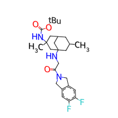 CC1CC2CC(C)(NC(=O)OC(C)(C)C)CC(NCC(=O)N3Cc4cc(F)c(F)cc4C3)(C1)C2